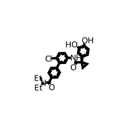 CCN(CC)C(=O)c1ccc(-c2cc(NC(=O)C3(c4ccc(O)c(O)c4)CC3)ccc2Cl)cc1